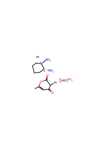 CC(=O)C1C(=O)C=C(C)OC1=O.N[C@@H]1CCCC[C@H]1N.O.O=[N+]([O-])O.[Pt]